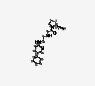 N#C[C@@H]1CCCN1C(=O)CNCCNc1ccc(-c2ccccc2)cn1